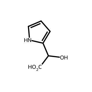 O=C(O)C(O)c1ccc[nH]1